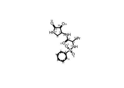 CC(C)C(NS(=O)(=O)c1ccccc1)C(=O)NC1CNC(=O)C1=O